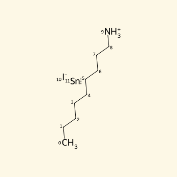 CCCCCCCCC[NH3+].[I-].[Sn]